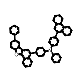 c1ccc(-c2ccc3oc4c5ccccc5c(-c5ccc(N(c6ccccc6)c6ccc(-c7cc8ccccc8c8ccccc78)cc6)cc5)cc4c3c2)cc1